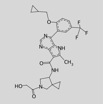 Cc1[nH]c2c(-c3cc(C(F)(F)F)ccc3OCC3CC3)ncnc2c1C(=O)NC1CN(C(=O)CO)CC12CC2